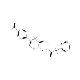 C=C(C)c1ccc(C2=CCC3CN(C(=C)C(C)(CCC)c4ccccc4)CC=C3C2(N)CC)cc1